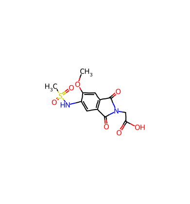 COc1cc2c(cc1NS(C)(=O)=O)C(=O)N(CC(=O)O)C2=O